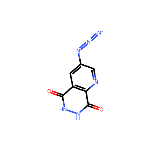 [N-]=[N+]=Nc1cnc2c(=O)[nH][nH]c(=O)c2c1